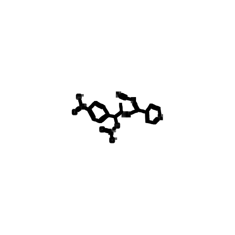 CC(NC(=NC#N)c1ccncc1)C(O[N+](=O)[O-])c1ccc([N+](=O)[O-])cc1